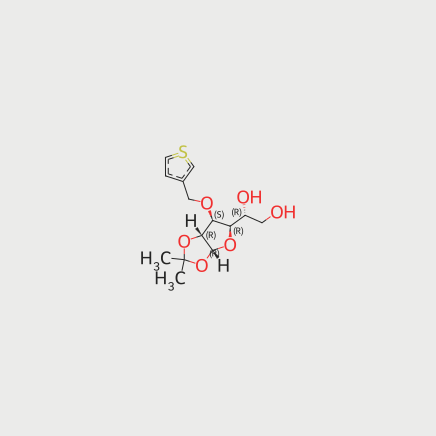 CC1(C)O[C@H]2O[C@H]([C@H](O)CO)[C@H](OCc3ccsc3)[C@H]2O1